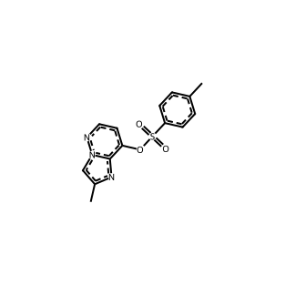 Cc1ccc(S(=O)(=O)Oc2ccnn3cc(C)nc23)cc1